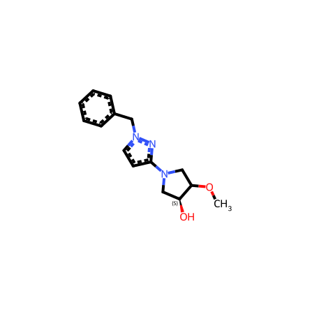 COC1CN(c2ccn(Cc3ccccc3)n2)C[C@@H]1O